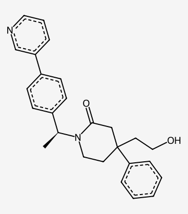 C[C@@H](c1ccc(-c2cccnc2)cc1)N1CCC(CCO)(c2ccccc2)CC1=O